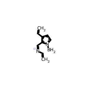 Bn1ccc(C=C)c1/C=N\C=C